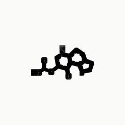 O=C(O)Oc1c[nH]c2ccc3ccsc3c2c1=O